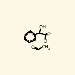 CC=O.O=C(Cl)C(O)c1ccccc1